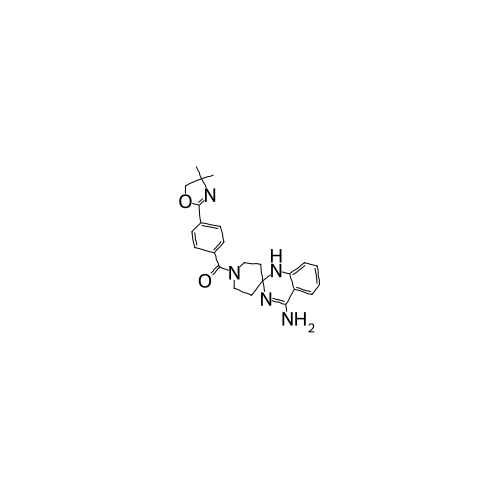 CC1(C)COC(c2ccc(C(=O)N3CCC4(CC3)N=C(N)c3ccccc3N4)cc2)=N1